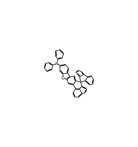 c1ccc(N(c2ccccc2)c2ccc3c(c2)oc2cc4c(cc23)C2(c3ccccc3-c3ccccc32)c2cccc3cccc-4c23)cc1